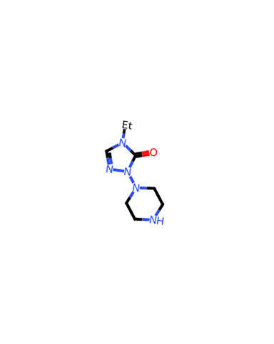 CCn1cnn(N2CCNCC2)c1=O